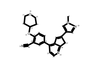 Cn1cc(C2=Cc3c(-c4ccc(OC5CCOCC5)c(C#N)c4)ccnc3C2)cn1